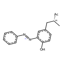 CC(=O)[C@H](C)Cc1ccc(O)c(/N=N/c2ccccc2)c1